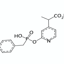 CC(C(=O)O)c1ccnc(OP(=O)(O)Cc2ccccc2)c1